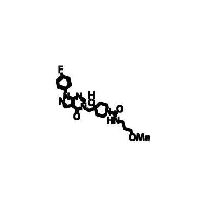 COCCCNC(=O)N1CCC(O)(Cn2cnc3c(cnn3-c3ccc(F)cc3)c2=O)CC1